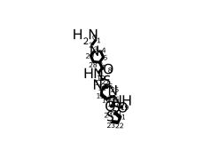 NCCN1CCC(C(=O)Nc2nc3ccc(NS(=O)(=O)c4cccs4)nc3s2)CC1